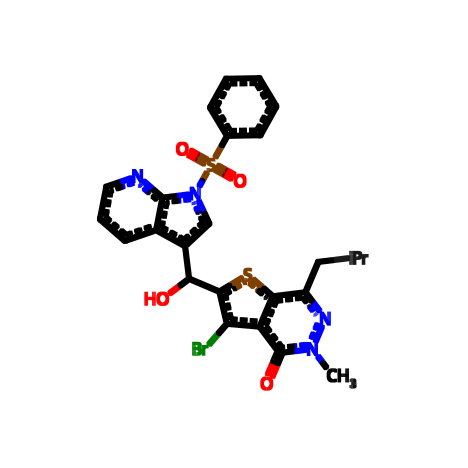 CC(C)Cc1nn(C)c(=O)c2c(Br)c(C(O)c3cn(S(=O)(=O)c4ccccc4)c4ncccc34)sc12